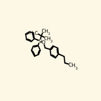 CCCc1ccc(CO[Si](c2ccccc2)(c2ccccc2)C(C)(C)C)cc1